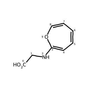 O=C(O)CNC1=CC=CC=CO1